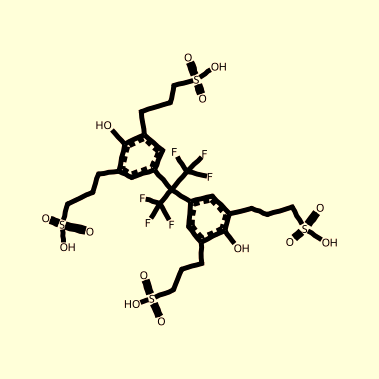 O=S(=O)(O)CCCc1cc(C(c2cc(CCCS(=O)(=O)O)c(O)c(CCCS(=O)(=O)O)c2)(C(F)(F)F)C(F)(F)F)cc(CCCS(=O)(=O)O)c1O